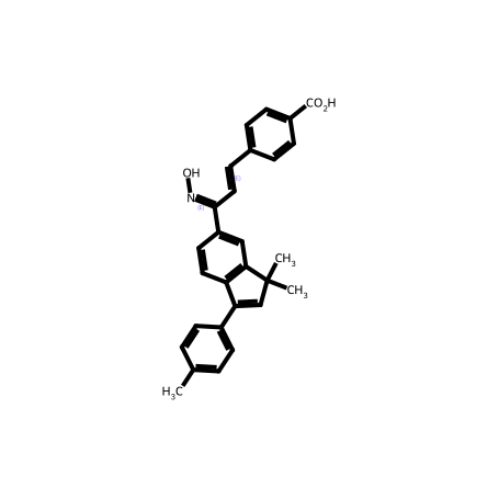 Cc1ccc(C2=CC(C)(C)c3cc(C(/C=C/c4ccc(C(=O)O)cc4)=N/O)ccc32)cc1